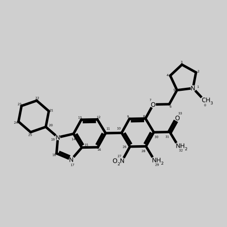 CN1CCCC1COc1cc(-c2ccc3c(c2)ncn3C2CCCCC2)c([N+](=O)[O-])c(N)c1C(N)=O